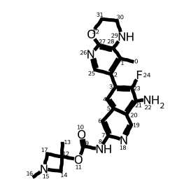 Cc1c(-c2cc3cc(NC(=O)OC4(C)CN(C)C4)ncc3c(N)c2F)cnc2c1NCCO2